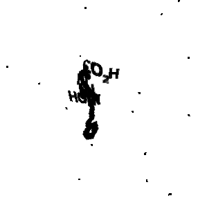 O=C(O)c1cnn(-c2nc(O)c3c(cnn3CCCCCc3ccccc3)n2)c1